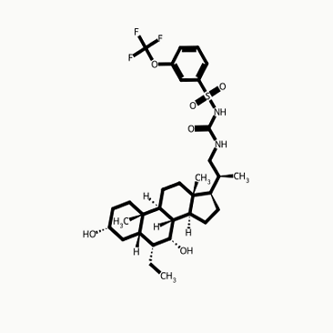 CC[C@H]1[C@@H](O)[C@@H]2[C@H](CC[C@]3(C)[C@@H]([C@H](C)CNC(=O)NS(=O)(=O)c4cccc(OC(F)(F)F)c4)CC[C@@H]23)[C@@]2(C)CC[C@@H](O)C[C@@H]12